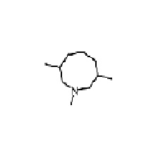 CC1CCCC(C)CN(C)C1